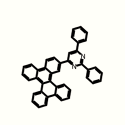 c1ccc(-c2cc(-c3ccc4c5ccccc5c5c6ccccc6c6ccccc6c5c4c3)nc(-c3ccccc3)n2)cc1